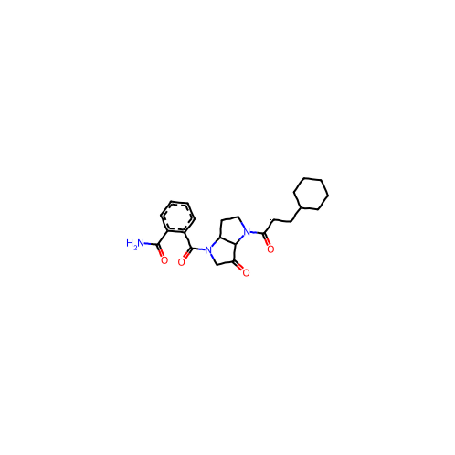 NC(=O)c1ccccc1C(=O)N1CC(=O)C2C1CCN2C(=O)[CH]CC1CCCCC1